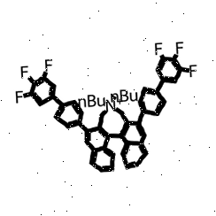 CCCC[N+]1(CCCC)Cc2c(-c3ccc(-c4cc(F)c(F)c(F)c4)cc3)cc3ccccc3c2-c2c(c(-c3ccc(-c4cc(F)c(F)c(F)c4)cc3)cc3ccccc23)C1